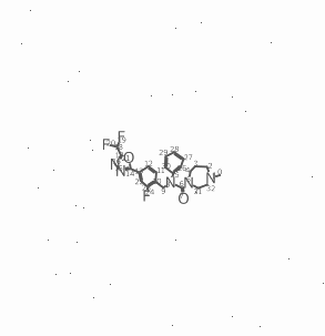 CN1CCCN(C(=O)N(Cc2ccc(-c3nnc(C(F)F)o3)cc2F)c2ccccc2)CC1